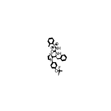 Cc1ccccc1S(=O)(=O)NC(=O)N[C@@H](Cc1ccccc1)c1nccn1-c1ccc(OC(C)(F)F)cc1